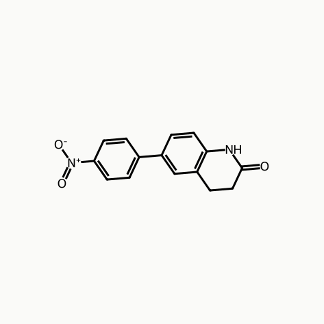 O=C1CCc2cc(-c3ccc([N+](=O)[O-])cc3)ccc2N1